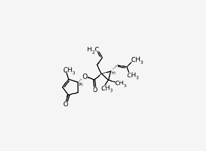 C=CCC1(C(=O)O[C@@H]2CC(=O)C=C2C)[C@H](C=C(C)C)C1(C)C